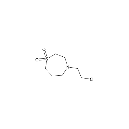 O=S1(=O)CCCN(CCCl)CC1